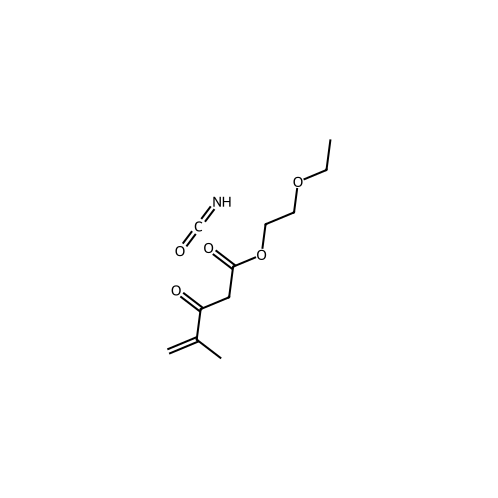 C=C(C)C(=O)CC(=O)OCCOCC.N=C=O